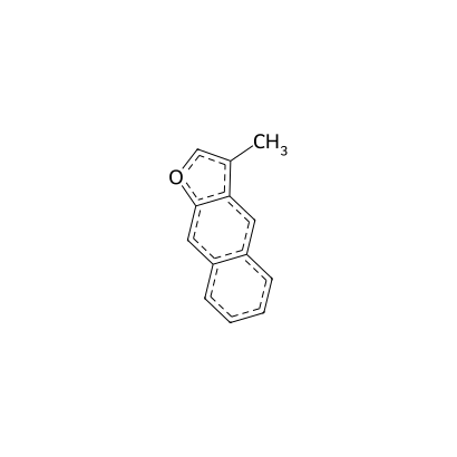 Cc1coc2cc3ccccc3cc12